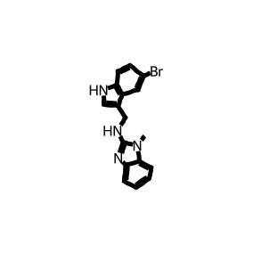 Cn1c(NCc2c[nH]c3ccc(Br)cc23)nc2ccccc21